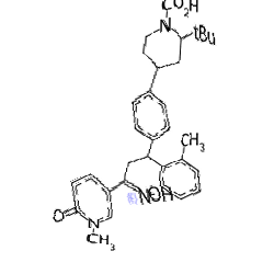 Cc1ccccc1C(C/C(=N\O)c1ccc(=O)n(C)c1)c1ccc(C2CCN(C(=O)O)C(C(C)(C)C)C2)cc1